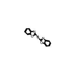 c1ccc2oc(/N=N/c3nc4ccccc4o3)nc2c1